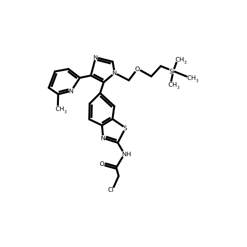 Cc1cccc(-c2ncn(COCC[Si](C)(C)C)c2-c2ccc3nc(NC(=O)CCl)sc3c2)n1